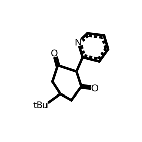 CC(C)(C)C1CC(=O)C(c2ccccn2)C(=O)C1